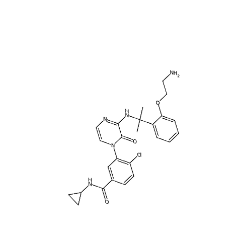 CC(C)(Nc1nccn(-c2cc(C(=O)NC3CC3)ccc2Cl)c1=O)c1ccccc1OCCN